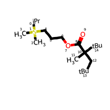 CC(C)S(C)(C)CCCOC(=O)C(C)(CC(C)(C)C)C(C)(C)C